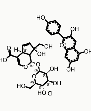 O=C(O)C1=CO[C@@H](O[C@@H]2O[C@H](CO)[C@@H](O)[C@H](O)[C@H]2O)C2[C@@H]1C=C[C@]2(O)CO.Oc1ccc(-c2[o+]c3cc(O)cc(O)c3cc2O)cc1.[Cl-]